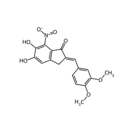 COc1ccc(C=C2Cc3cc(O)c(O)c([N+](=O)[O-])c3C2=O)cc1OC